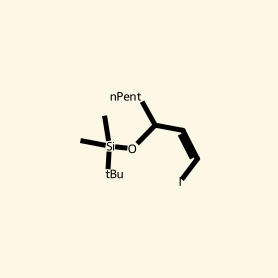 CCCCCC(/C=C\I)O[Si](C)(C)C(C)(C)C